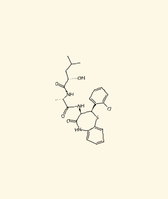 CC(C)C[C@H](O)C(=O)N[C@@H](C)C(=O)N[C@@H]1C(=O)Nc2ccccc2S[C@@H]1c1ccccc1Cl